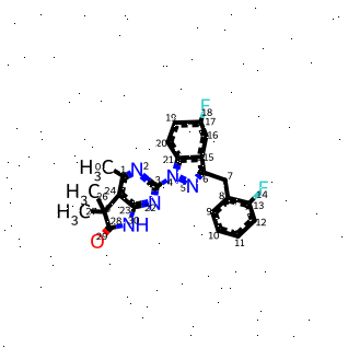 Cc1nc(-n2nc(Cc3ccccc3F)c3cc(F)ccc32)nc2c1C(C)(C)C(=O)N2